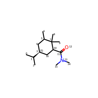 CC(C)[C@H]1CC(C)C(C)(C)C(C(=O)N(C)C)C1